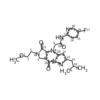 COCCN1Cc2c(n(CC(=O)Nc3ccc(F)cn3)c3cc(CC(C)C)nn3c2=O)C1=O